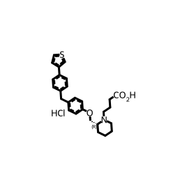 Cl.O=C(O)CCCN1CCCC[C@@H]1COc1ccc(Cc2ccc(-c3ccsc3)cc2)cc1